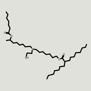 CCCCCCCCC(CCCCCCC)C(=O)OCCCCCCCN(CCO)CCCCCCC(C)OC(=O)CCCCCC